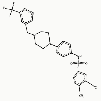 Cc1ccc(S(=O)(=O)Nc2ccc(N3CCN(Cc4cccc(C(F)(F)F)c4)CC3)nc2)cc1Cl